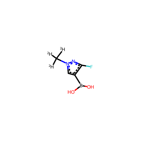 [2H]C([2H])([2H])n1cc(B(O)O)c(F)n1